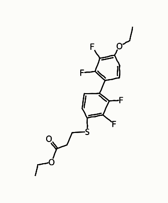 CCOC(=O)CCSc1ccc(-c2ccc(OCC)c(F)c2F)c(F)c1F